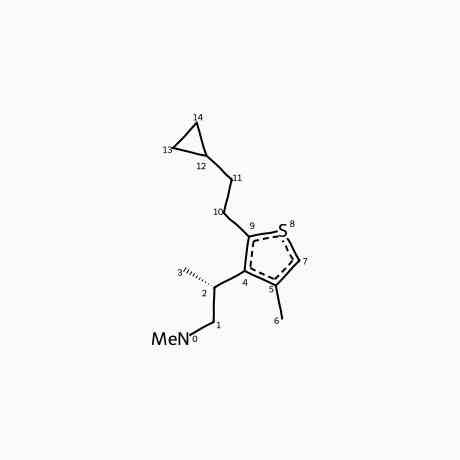 CNC[C@H](C)c1c(C)csc1CCC1CC1